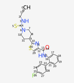 C#CCNC(=S)N1CCC(c2nc(C(=O)Nc3ccccc3-c3ccc(F)cc3)cs2)CC1